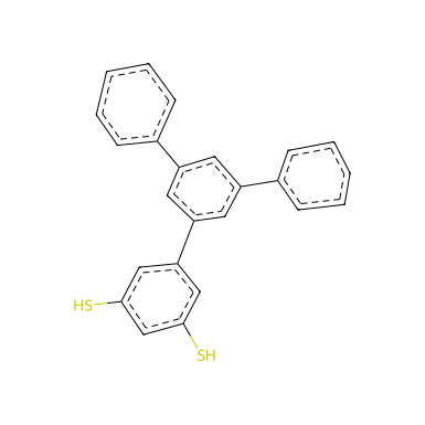 Sc1cc(S)cc(-c2cc(-c3ccccc3)cc(-c3ccccc3)c2)c1